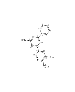 Nc1nc(-c2ccccc2)cc(-c2ccc(N)c(F)c2)n1